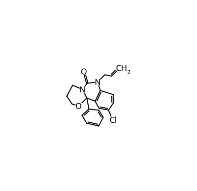 C=CCN1C(=O)N2CCCOC2(c2ccccc2)c2cc(Cl)ccc21